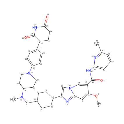 CC(C)Oc1cc2nc(C3CCC(CN(C)C4CCN(c5ccc(C6CCC(=O)NC6=O)cc5)CC4)CC3)cn2cc1C(=O)Nc1cccc(C(F)(F)F)n1